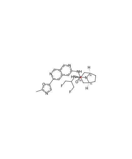 Cc1ncc(-c2cc3cc(NC(=O)N4[C@@H]5CC[C@H]4C[C@@H](NC(CF)CF)C5)ncc3cn2)o1